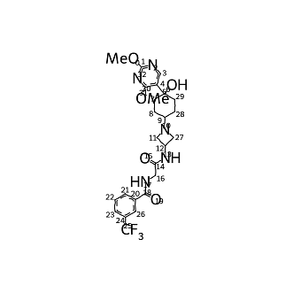 COc1ncc(C2(O)CCC(N3CC(NC(=O)CNC(=O)c4cccc(C(F)(F)F)c4)C3)CC2)c(OC)n1